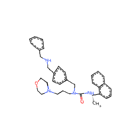 C[C@H](NC(=O)N(CCCN1CCOCC1)Cc1ccc(CNCc2ccccc2)cc1)c1cccc2ccccc12